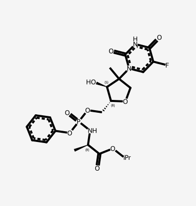 CC(C)OC(=O)[C@@H](C)NP(=O)(OC[C@H]1OCC(C)(n2cc(F)c(=O)[nH]c2=O)[C@@H]1O)Oc1ccccc1